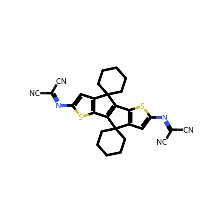 N#CC(C#N)=Nc1cc2c(s1)C1=C(c3sc(N=C(C#N)C#N)cc3C13CCCCC3)C21CCCCC1